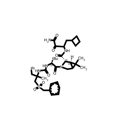 CC(C)CC(C)(CS(=O)(=O)Cc1ccccc1)NC(=O)N[C@H](C(=O)N1CC2[C@@H]([C@H]1C(=O)NC(CC1CCC1)C(=O)C(N)=O)C2(C)C)C(C)(C)C